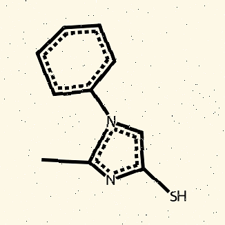 Cc1nc(S)cn1-c1ccccc1